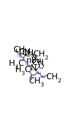 C#CC(/C=C(CCCC)/C(C)=C(/C=C(\C)C=C)C(C)CCC=C)C1(C)C/C(=C/C)C/C(=C\C=C/C=C)C(C2=CC=CC2)=N1